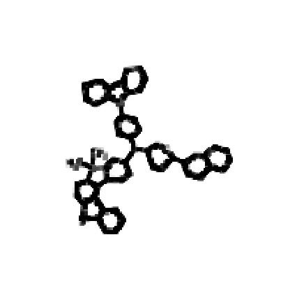 C[Si]1(C)c2cc(N(c3ccc(-c4ccc5ccccc5c4)cc3)c3ccc(-n4c5ccccc5c5ccccc54)cc3)ccc2-c2c1ccc1sc3ccccc3c21